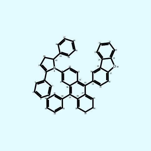 C1=C(c2ccccc2)N(c2ccc3c(-c4ccc5oc6ccccc6c5c4)c4c(c(-c5ccccc5)c3c2)=CCCC=4)C(c2ccccc2)C1